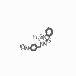 CC(C)Nc1ccc(C=NN=c2sc3ccccc3n2C)cc1